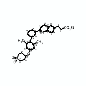 CCOC(=O)CCc1ccc2nc(-c3cccc(-c4c(C)cc(OC5CCS(=O)(=O)CC5)cc4C)c3)ccc2c1